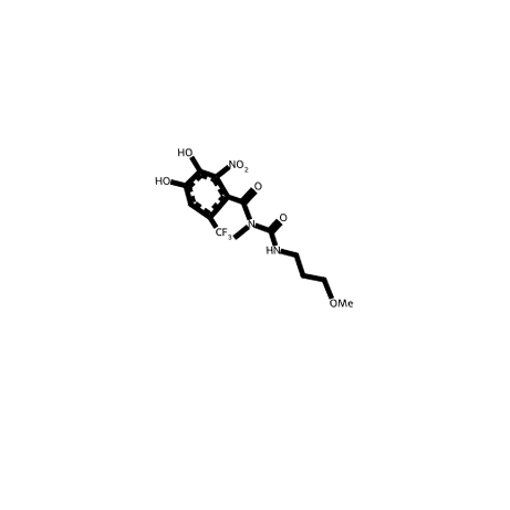 COCCCNC(=O)N(C)C(=O)c1c(C(F)(F)F)cc(O)c(O)c1[N+](=O)[O-]